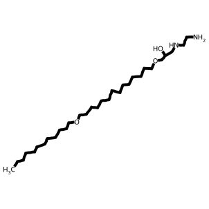 CCCCCCCCCCCCOCCCCCCCCCCCCCCOCC(O)CNCCN